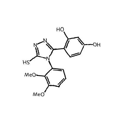 COc1cccc(-n2c(S)nnc2-c2ccc(O)cc2O)c1OC